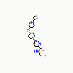 CNC(=O)c1ccc(N2CCC(OC3CCN(C4CCC4)CC3)CC2)cn1